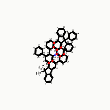 CC1(C)c2ccccc2-c2cc(-c3ccccc3N(c3ccc4c(c3)C(c3ccccc3)(c3ccccc3)c3ccccc3-4)c3cccc(-c4ccccc4)c3-c3ccccc3-c3ccccc3)ccc21